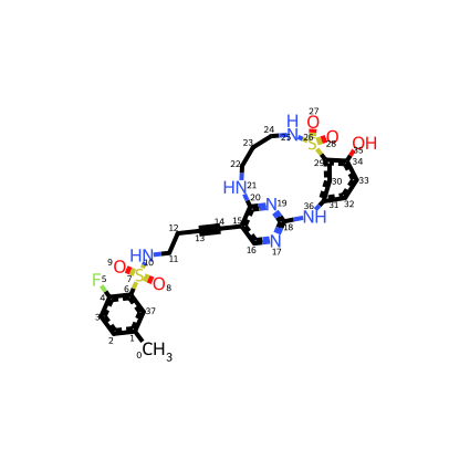 Cc1ccc(F)c(S(=O)(=O)NCCC#Cc2cnc3nc2NCCCNS(=O)(=O)c2cc(ccc2O)N3)c1